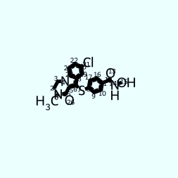 CN1CCn2c(c(Sc3ccc(C(=O)NO)cc3)c3cc(Cl)ccc32)C1=O